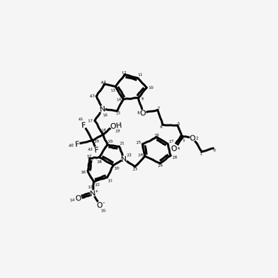 CCOC(=O)CCCOc1cccc2c1CN(CC(O)(c1cn(Cc3ccccc3)c3cc([N+](=O)[O-])ccc13)C(F)(F)F)CC2